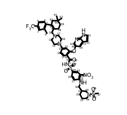 Cc1cc(C(F)(F)F)ccc1C1=C(CN2CCN(c3ccc(C(=O)NS(=O)(=O)c4ccc(NCC5CCCN(S(C)(=O)=O)C5)c([N+](=O)[O-])c4)c(Oc4cnc5[nH]ccc5c4)c3)CC2)CCC(C)(C)C1